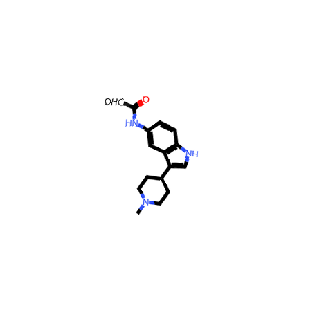 CN1CCC(c2c[nH]c3ccc(NC(=O)C=O)cc23)CC1